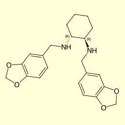 c1cc2c(cc1CN[C@@H]1CCCC[C@H]1NCc1ccc3c(c1)OCO3)OCO2